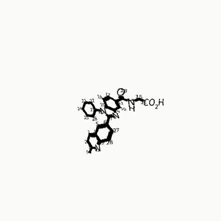 Cc1ccc2cc(-c3nc4cc(C(=O)NCC(=O)O)ccc4n3C3CCCCC3)ccc2n1